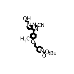 Cc1cc(-c2nc(C#N)nc3c2ccn3CCO)ccc1OCCC1CCN(C(=O)OC(C)(C)C)CC1